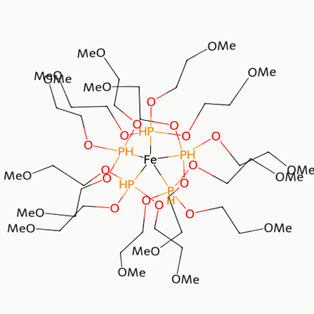 COCCO[PH](OCCOC)(OCCOC)[Fe]([PH](OCCOC)(OCCOC)OCCOC)([PH](OCCOC)(OCCOC)OCCOC)([PH](OCCOC)(OCCOC)OCCOC)[PH](OCCOC)(OCCOC)OCCOC